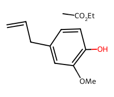 C=CCc1ccc(O)c(OC)c1.CCOC(C)=O